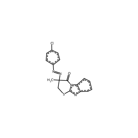 CC1(N=Nc2ccc(Cl)cc2)CSc2nc3ccccc3n2C1=O